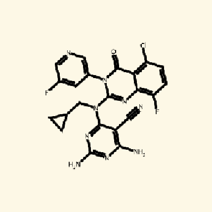 N#Cc1c(N)nc(N)nc1N(CC1CC1)c1nc2c(F)ccc(Cl)c2c(=O)n1-c1cncc(F)c1